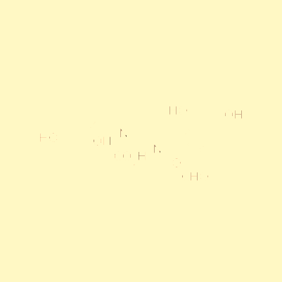 O=COCN(CCN(CC(=O)O)Cc1cccc(CO)c1O)Cc1cccc(CO)c1O